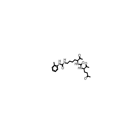 CC(=O)CCC(NC(=O)NC(CCCCNC(=O)Nc1ccccc1C)C(C)=O)C(C)=O